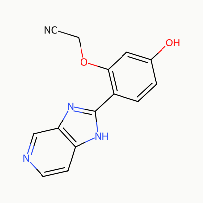 N#CCOc1cc(O)ccc1-c1nc2cnccc2[nH]1